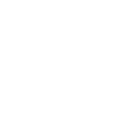 CNCCCCCCCCNC(C)C